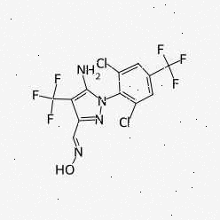 Nc1c(C(F)(F)F)c(C=NO)nn1-c1c(Cl)cc(C(F)(F)F)cc1Cl